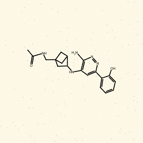 CC(=O)NCC12CC(C1)C(Nc1cc(-c3ccccc3O)nnc1N)C2